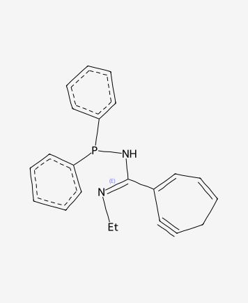 CC/N=C(/NP(c1ccccc1)c1ccccc1)C1=CC=CCC#C1